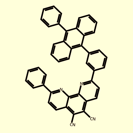 N#Cc1c(C#N)c2ccc(-c3cccc(-c4c5ccccc5c(-c5ccccc5)c5ccccc45)c3)nc2c2nc(-c3ccccc3)ccc12